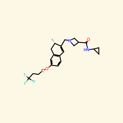 C[C@H]1Cc2cc(OCCCC(F)(F)F)ccc2C=C1CN1CC(C(=O)NC2CC2)C1